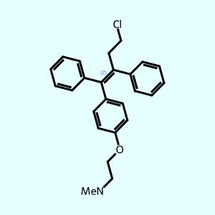 CNCCOc1ccc(/C(=C(/CCCl)c2ccccc2)c2ccccc2)cc1